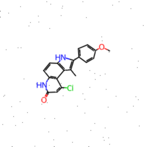 COc1ccc(-c2[nH]c3ccc4[nH]c(=O)cc(Cl)c4c3c2C)cc1